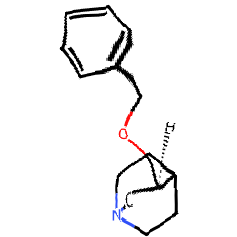 c1ccc(CO[C@@H]2CN3CCC2CC3)cc1